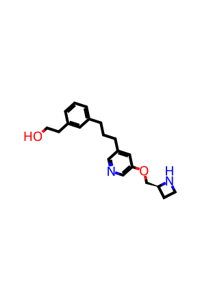 OCCc1cccc(CCCc2cncc(OC[C@@H]3CCN3)c2)c1